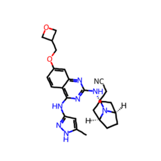 Cc1cc(Nc2nc(N[C@@H]3C[C@H]4CC[C@@H](C3)N4CCC#N)nc3cc(OCC4COC4)ccc23)n[nH]1